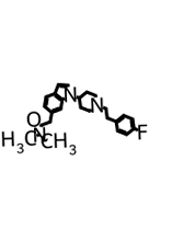 CN(C)C(=O)Cc1ccc2ccn(C3CCN(CCc4ccc(F)cc4)CC3)c2c1